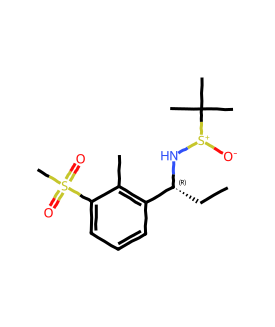 CC[C@@H](N[S+]([O-])C(C)(C)C)c1cccc(S(C)(=O)=O)c1C